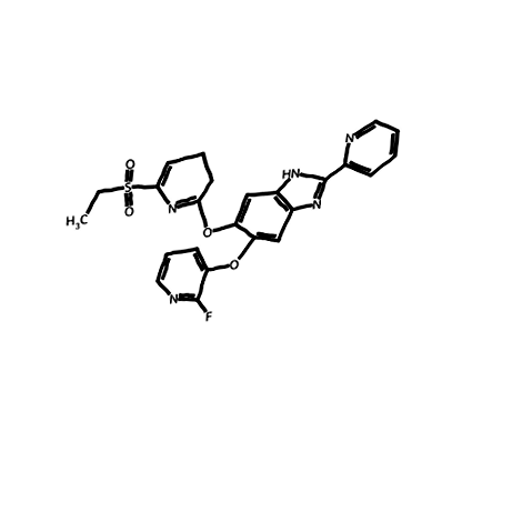 CCS(=O)(=O)C1=CCCC(Oc2cc3[nH]c(-c4ccccn4)nc3cc2Oc2cccnc2F)=N1